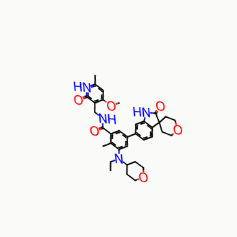 CCN(c1cc(-c2ccc3c(c2)NC(=O)C32CCOCC2)cc(C(=O)NCc2c(OC)cc(C)[nH]c2=O)c1C)C1CCOCC1